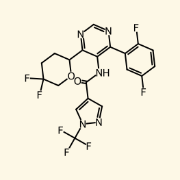 O=C(Nc1c(-c2cc(F)ccc2F)ncnc1C1CCC(F)(F)CO1)c1cnn(C(F)(F)F)c1